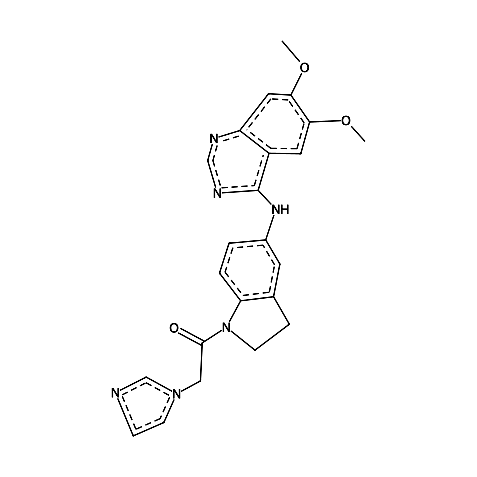 COc1cc2ncnc(Nc3ccc4c(c3)CCN4C(=O)Cn3ccnc3)c2cc1OC